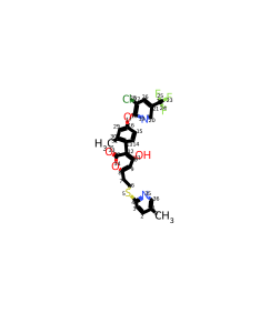 Cc1ccc(SCCc2cc(O)c(-c3ccc(Oc4ncc(C(F)(F)F)cc4Cl)cc3C)c(=O)o2)nc1